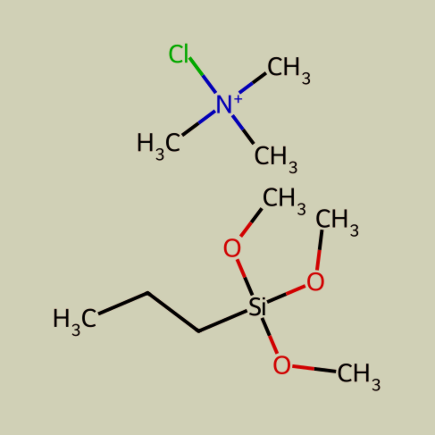 CCC[Si](OC)(OC)OC.C[N+](C)(C)Cl